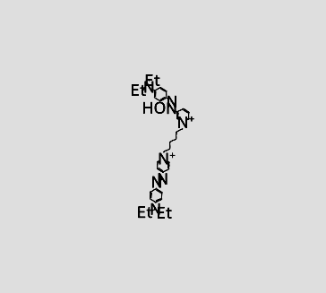 CCN(CC)c1ccc(/N=N/c2cc[n+](CCCCCC[n+]3cccc(/N=N/c4ccc(N(CC)CC)cc4O)c3)cc2)cc1